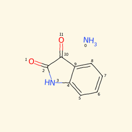 N.O=C1Nc2ccccc2C1=O